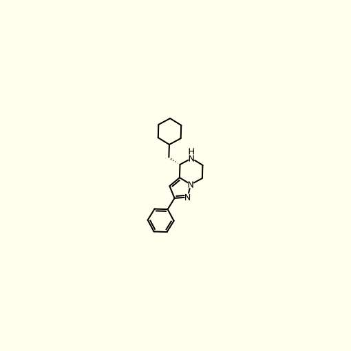 c1ccc(-c2cc3n(n2)CCN[C@H]3CC2CCCCC2)cc1